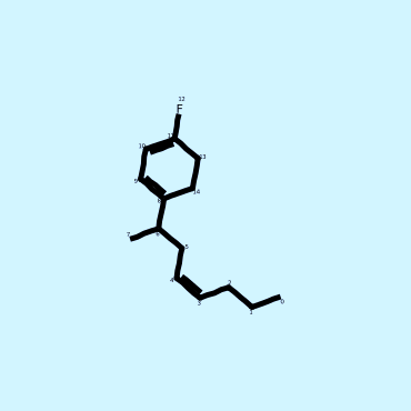 CCC/C=C\CC(C)C1=CC=C(F)CC1